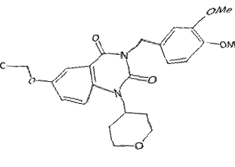 COc1ccc(Cn2c(=O)c3cc(OCC(F)(F)F)ccc3n(C3CCOCC3)c2=O)cc1OC